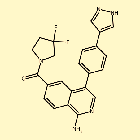 Nc1ncc(-c2ccc(-c3cn[nH]c3)cc2)c2cc(C(=O)N3CCC(F)(F)C3)ccc12